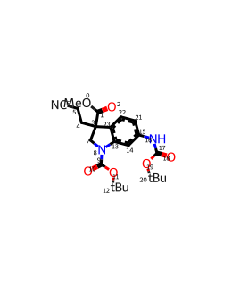 COC(=O)C1(CCC#N)CN(C(=O)OC(C)(C)C)c2cc(NC(=O)OC(C)(C)C)ccc21